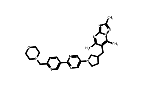 Cc1nc2nc(C)c(CC3CCN(c4cnc(-c5ccc(CN6CCOCC6)nc5)nc4)C3)c(C)n2n1